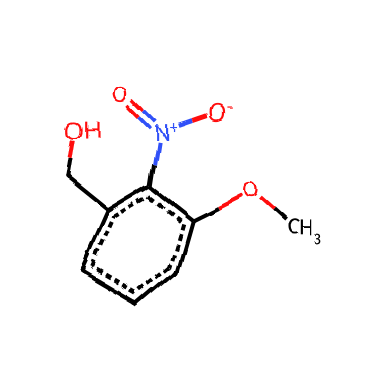 COc1cccc(CO)c1[N+](=O)[O-]